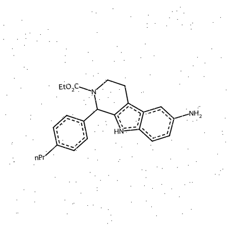 CCCc1ccc(C2c3[nH]c4ccc(N)cc4c3CCN2C(=O)OCC)cc1